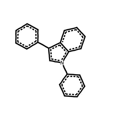 c1ccc(-c2cn(-c3ccccc3)c3ccccc23)cc1